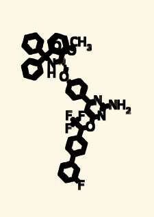 COC(=O)[C@H](COc1ccc(-c2cc(OC(c3ccc(-c4cccc(F)c4)cc3)C(F)(F)F)nc(N)n2)cc1)NC(c1ccccc1)(c1ccccc1)c1ccccc1